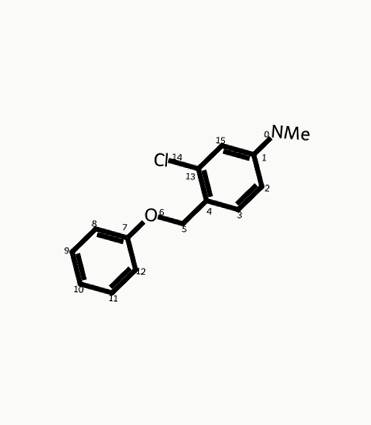 CNc1ccc(COc2ccccc2)c(Cl)c1